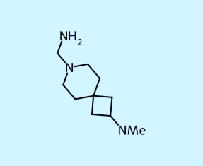 CNC1CC2(CCN(CN)CC2)C1